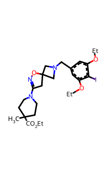 CCOC(=O)C1(C)CCN(C2=NOC3(C2)CN(Cc2cc(OCC)c(I)c(OCC)c2)C3)CC1